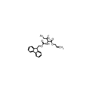 C=CCOC(=O)C(NC(=O)OCC1c2ccccc2-c2ccccc21)C(C)CC(C)=O